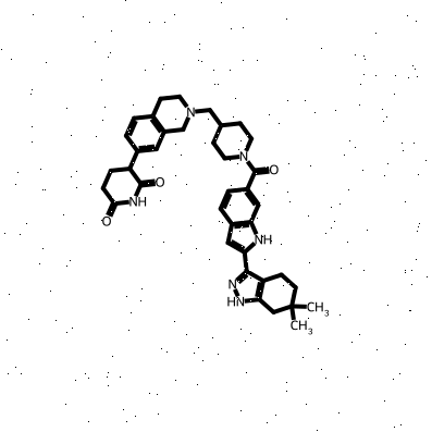 CC1(C)CCc2c(-c3cc4ccc(C(=O)N5CCC(CN6CCc7ccc(C8CCC(=O)NC8=O)cc7C6)CC5)cc4[nH]3)n[nH]c2C1